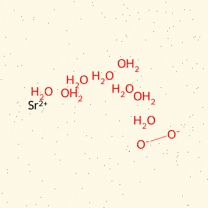 O.O.O.O.O.O.O.O.[O-][O-].[Sr+2]